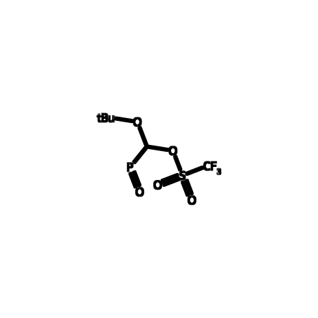 CC(C)(C)OC(OS(=O)(=O)C(F)(F)F)P=O